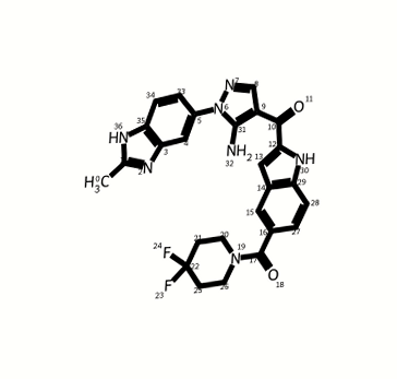 Cc1nc2cc(-n3ncc(C(=O)c4cc5cc(C(=O)N6CCC(F)(F)CC6)ccc5[nH]4)c3N)ccc2[nH]1